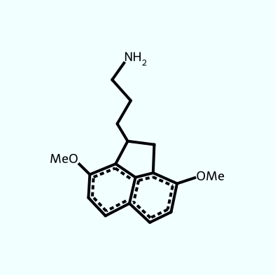 COc1ccc2ccc(OC)c3c2c1CC3CCCN